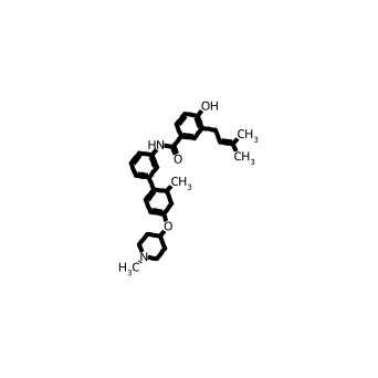 CC(C)=CCc1cc(C(=O)Nc2cccc(C3=CC=C(OC4CCN(C)CC4)CC3C)c2)ccc1O